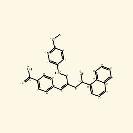 COc1ccc(NCC(=Cc2ccc(C(=O)O)cc2)CC(O)c2cccc3ccccc23)cn1